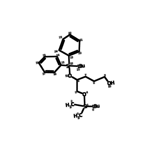 CC(C)(C)[Si](C)(C)OCC(CCCO)O[Si](c1ccccc1)(c1ccccc1)C(C)(C)C